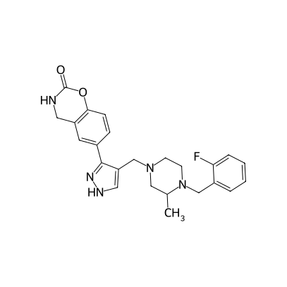 CC1CN(Cc2c[nH]nc2-c2ccc3c(c2)CNC(=O)O3)CCN1Cc1ccccc1F